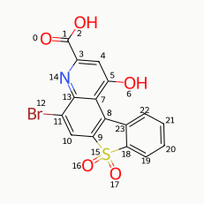 O=C(O)c1cc(O)c2c3c(cc(Br)c2n1)S(=O)(=O)c1ccccc1-3